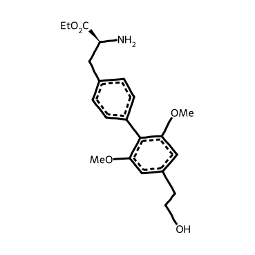 CCOC(=O)[C@@H](N)Cc1ccc(-c2c(OC)cc(CCO)cc2OC)cc1